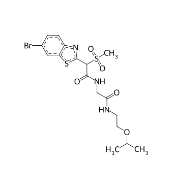 CC(C)OCCNC(=O)CNC(=O)C(c1nc2ccc(Br)cc2s1)S(C)(=O)=O